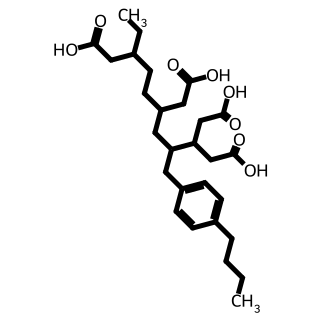 CCCCc1ccc(CC(CC(CCC(CC)CC(=O)O)CC(=O)O)C(CC(=O)O)CC(=O)O)cc1